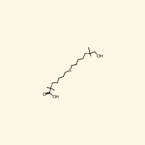 CC(C)(CO)CCCCCSCCCCCC(C)(C)C(=O)O